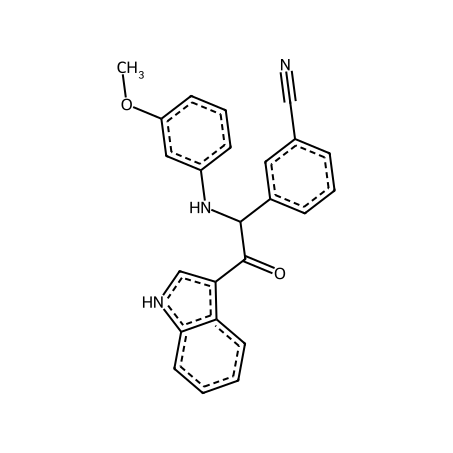 COc1cccc(NC(C(=O)c2c[nH]c3ccccc23)c2cccc(C#N)c2)c1